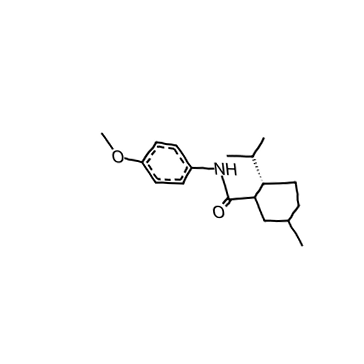 COc1ccc(NC(=O)C2CC(C)CC[C@H]2C(C)C)cc1